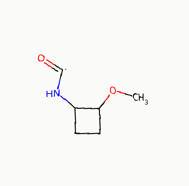 COC1CCC1N[C]=O